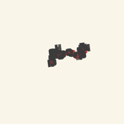 Cc1ncoc1-c1ccc(CNC(=O)[C@@H]2CCCN2C(=O)C(NC(=O)COCCCCOc2ccc(-c3ccc(N(C)C(C)(C)C(=O)N(C=S)c4ccc(C#N)c(C(F)(F)F)c4)cc3)cc2)C(C)(C)C)cc1